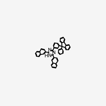 c1ccc(C2(c3cccc(C4=NC(c5ccc6ccccc6c5)NC(c5ccc6ccccc6c5)=N4)c3)c3ccccc3-c3ccccc32)cc1